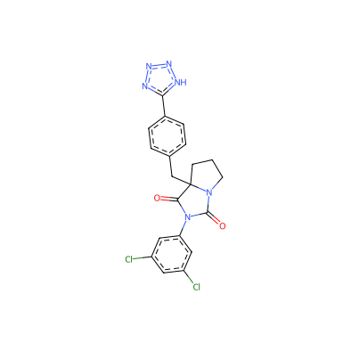 O=C1N(c2cc(Cl)cc(Cl)c2)C(=O)C2(Cc3ccc(-c4nnn[nH]4)cc3)CCCN12